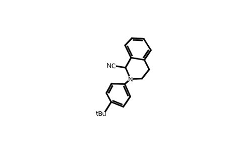 CC(C)(C)c1ccc(N2CCc3ccccc3C2C#N)cc1